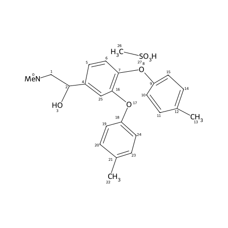 CNCC(O)c1ccc(Oc2ccc(C)cc2)c(Oc2ccc(C)cc2)c1.CS(=O)(=O)O